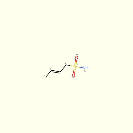 C/C=C/CS([NH])(=O)=O